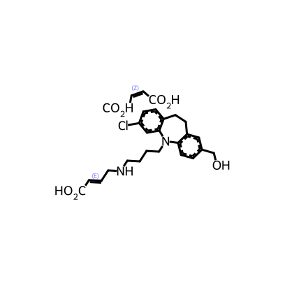 O=C(O)/C=C/CNCCCCN1c2ccc(CO)cc2CCc2ccc(Cl)cc21.O=C(O)/C=C\C(=O)O